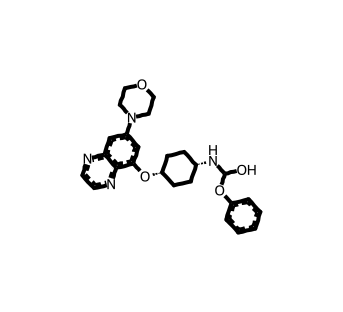 OC(N[C@H]1CC[C@@H](Oc2cc(N3CCOCC3)cc3nccnc23)CC1)Oc1ccccc1